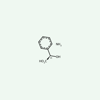 N.O=C(O)[C@H](O)c1ccccc1